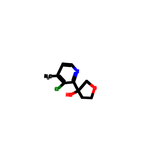 Cc1ccnc(C2(O)CCOC2)c1Cl